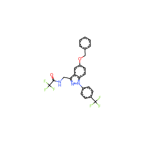 O=C(NCc1nn(-c2ccc(C(F)(F)F)cc2)c2ccc(OCc3ccccc3)cc12)C(F)(F)F